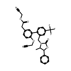 CC1C(c2ccccc2)OC(=O)N1Cc1cc(C(F)(F)F)ccc1-c1cc(CC(=O)OCC#N)ccc1OCC#N